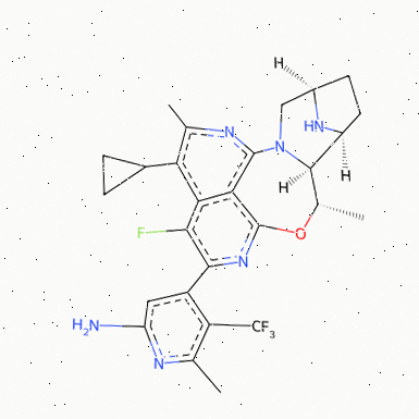 Cc1nc(N)cc(-c2nc3c4c(nc(C)c(C5CC5)c4c2F)N2C[C@H]4CC[C@H](N4)[C@H]2[C@H](C)O3)c1C(F)(F)F